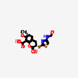 COc1ccc2c(c1C(=O)O)OB(O)[C@@H](Sc1nc(NC=O)cs1)C2